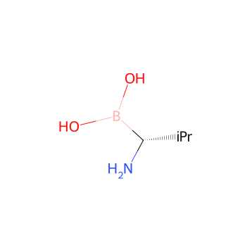 CC(C)[C@H](N)B(O)O